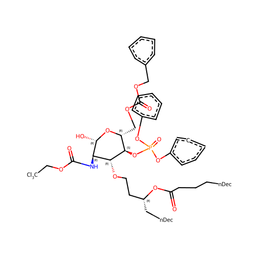 CCCCCCCCCCCCCC(=O)O[C@H](CCCCCCCCCCC)CCO[C@@H]1[C@@H](NC(=O)OCC(Cl)(Cl)Cl)[C@H](O)O[C@H](COC(=O)OCc2ccccc2)[C@H]1OP(=O)(Oc1ccccc1)Oc1ccccc1